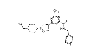 Cc1nc(C(=O)NCc2ccncc2)cc(C2=NO[C@H]([C@H]3CC[C@H](CO)CC3)C2)n1